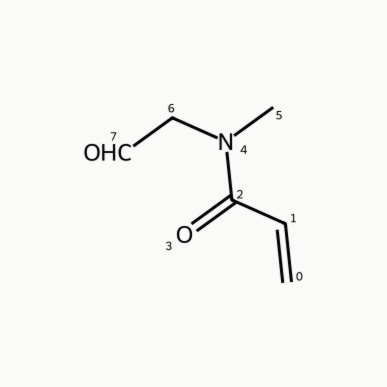 C=CC(=O)N(C)CC=O